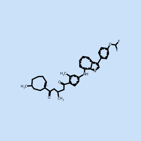 Cc1cc(Nc2ccccc3c(-c4ccc(OC(F)F)cc4)cnc2-3)ccc1C(=O)CC(C)CC(=O)/C1=C/CCCC(C)CC1